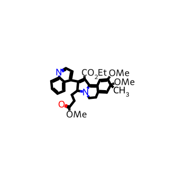 CCOC(=O)C1=C(c2ccnc3ccccc23)C(CCC(=O)OC)N2CCC3=CC(C)(OC)C(OC)=CC3=C12